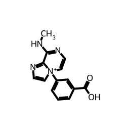 CNC1=NC=C[N+]2(c3cccc(C(=O)O)c3)C=CN=C12